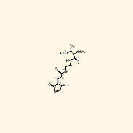 CCCC(NC(C)=O)C(NC(C)=O)C(=O)NCCNC(=O)CCN1C(=O)C=CC1=O